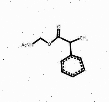 CC(=O)NCOC(=O)C(C)c1ccccc1